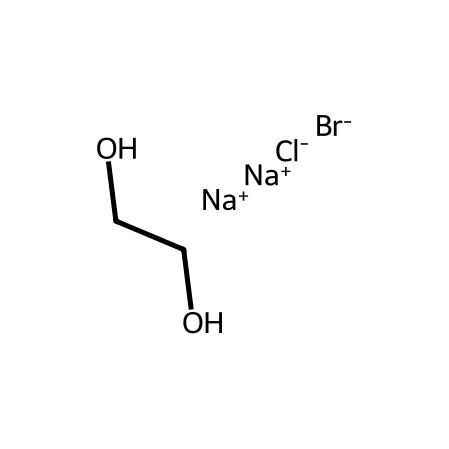 OCCO.[Br-].[Cl-].[Na+].[Na+]